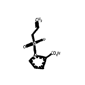 C=CCS(=O)(=O)n1cccc1C(=O)O